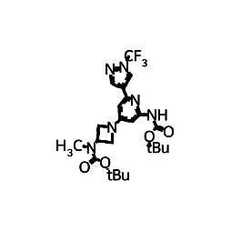 CN(C(=O)OC(C)(C)C)C1CN(c2cc(NC(=O)OC(C)(C)C)nc(-c3cnn(C(F)(F)F)c3)c2)C1